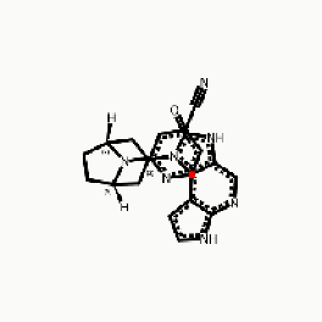 N#Cc1ccnc(N2[C@@H]3CC[C@H]2C[C@H](n2c(=O)[nH]c4cnc5[nH]ccc5c42)C3)c1